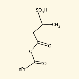 CCCC(=O)OC(=O)CC(C)S(=O)(=O)O